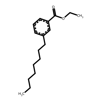 CCCCCCCCc1cccc(C(=O)OCC)c1